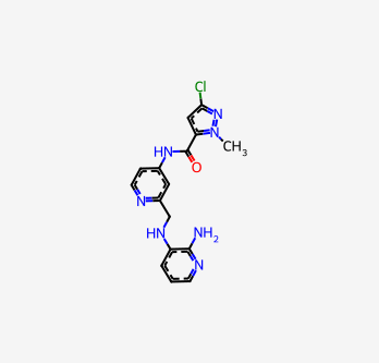 Cn1nc(Cl)cc1C(=O)Nc1ccnc(CNc2cccnc2N)c1